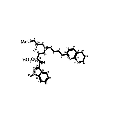 COC[C@@H](F)CN(CCCCc1ccc2c(n1)NCCC2)CC[C@H](Nc1nn(C)c2ccccc12)C(=O)O